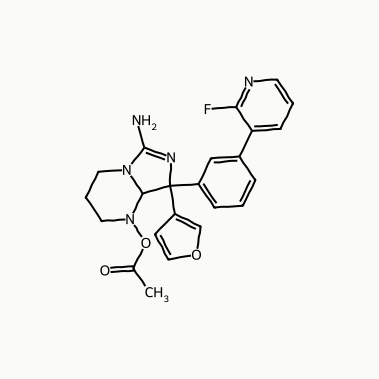 CC(=O)ON1CCCN2C(N)=NC(c3ccoc3)(c3cccc(-c4cccnc4F)c3)C12